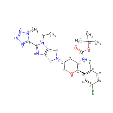 CCn1c(-c2nnnn2C)nc2c1CN([C@H]1CO[C@H](c3cc(F)ccc3F)[C@@H](NC(=O)OC(C)(C)C)C1)C2